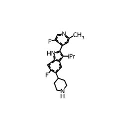 Cc1cc(-c2[nH]c3cc(F)c(C4CCNCC4)cc3c2C(C)C)c(F)cn1